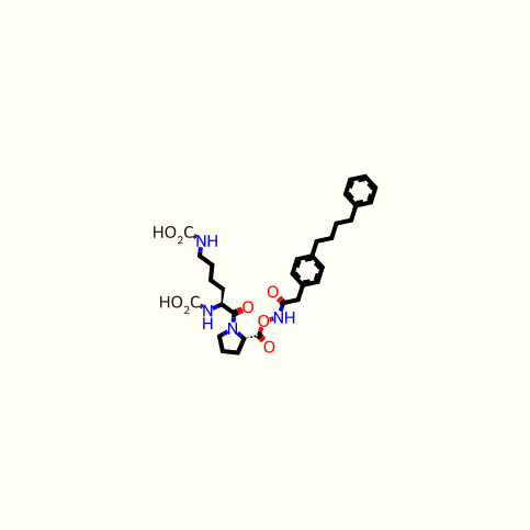 O=C(O)NCCCC[C@H](NC(=O)O)C(=O)N1CCC[C@H]1C(=O)ONC(=O)Cc1ccc(CCCCc2ccccc2)cc1